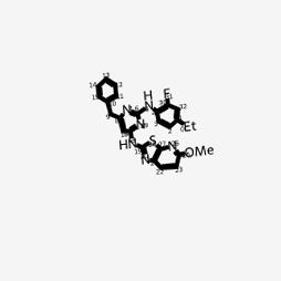 CCc1ccc(Nc2nc(Cc3ccccc3)cc(Nc3nc4ccc(OC)nc4s3)n2)c(F)c1